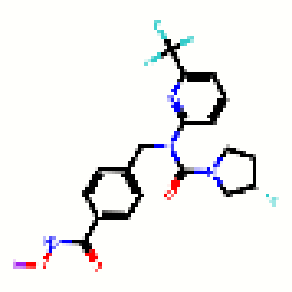 O=C(NOI)c1ccc(CN(C(=O)N2CC[C@H](F)C2)c2cccc(C(F)(F)F)n2)cc1